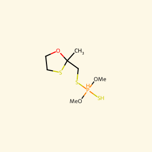 CO[PH](S)(OC)SCC1(C)OCCS1